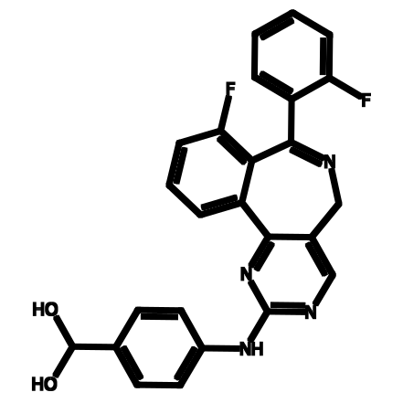 OC(O)c1ccc(Nc2ncc3c(n2)-c2cccc(F)c2C(c2ccccc2F)=NC3)cc1